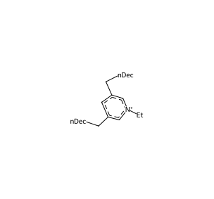 CCCCCCCCCCCc1cc(CCCCCCCCCCC)c[n+](CC)c1